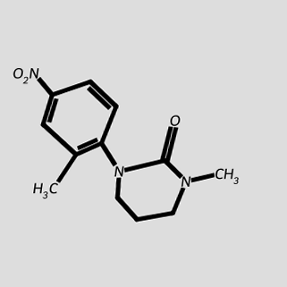 Cc1cc([N+](=O)[O-])ccc1N1CCCN(C)C1=O